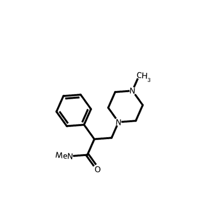 CNC(=O)C(CN1CCN(C)CC1)c1ccccc1